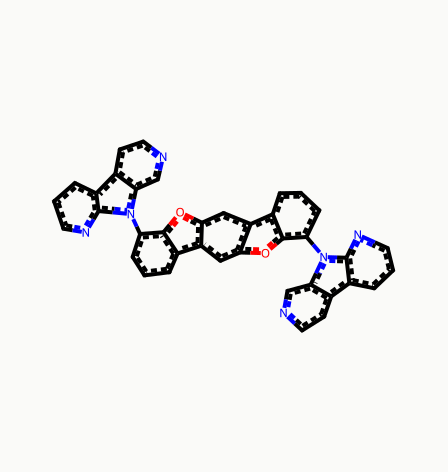 c1cc(-n2c3cnccc3c3cccnc32)c2oc3cc4c(cc3c2c1)oc1c(-n2c3cnccc3c3cccnc32)cccc14